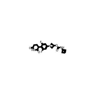 O=C1CCC(c2c(F)cc(N3CC(OC(=O)NC45CC(C4)C5)C3)cc2F)C(=O)N1